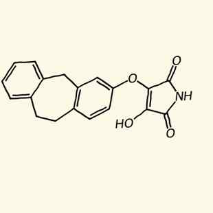 O=C1NC(=O)C(Oc2ccc3c(c2)Cc2ccccc2CC3)=C1O